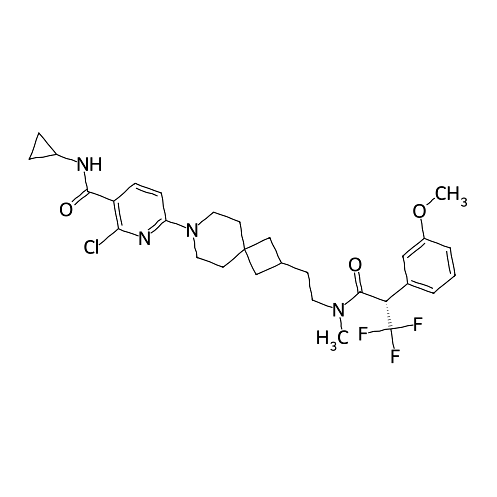 COc1cccc([C@@H](C(=O)N(C)CCC2CC3(CCN(c4ccc(C(=O)NC5CC5)c(Cl)n4)CC3)C2)C(F)(F)F)c1